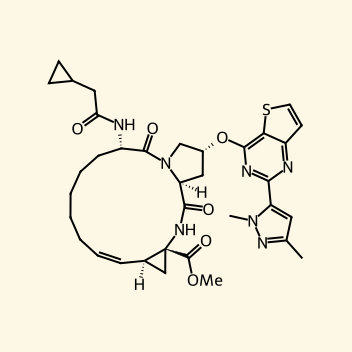 COC(=O)[C@@]12C[C@H]1/C=C\CCCCC[C@H](NC(=O)CC1CC1)C(=O)N1C[C@H](Oc3nc(-c4cc(C)nn4C)nc4ccsc34)C[C@H]1C(=O)N2